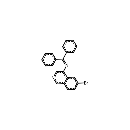 Brc1ccc2cncc(N=C(c3ccccc3)c3ccccc3)c2c1